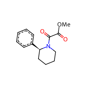 COC(=O)C(=O)N1CCCC[C@H]1c1ccccc1